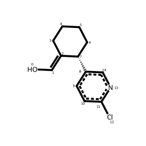 O/C=C1\CCCC[C@@H]1c1ccc(Cl)nc1